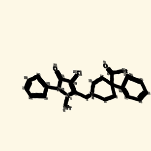 CCCn1c(CN2CCC(C(=O)CC)(c3ccccc3)CC2)c(Cl)c(=O)n1-c1ccccc1